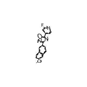 COc1ccc2cc(-c3noc(-c4ccnc(F)c4)n3)ccc2c1